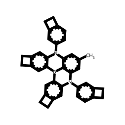 Cc1cc2c3c(c1)N(c1ccc4c(c1)CC4)c1cc4c(cc1B3c1cc3c(cc1N2c1ccc2c(c1)CC2)CC3)CC4